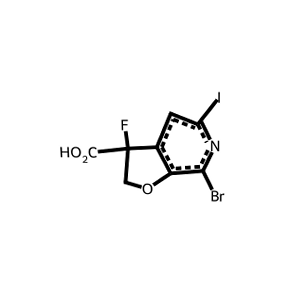 O=C(O)C1(F)COc2c1cc(I)nc2Br